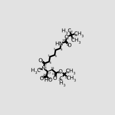 CN(C(=O)CCCCCNC(=O)OC(C)(C)C)[C@@H](CC(=O)OC(C)(C)C)C(=O)O